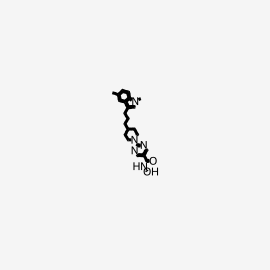 Cc1ccc2c(c1)c(CCCC1CCN(c3ncc(C(=O)NO)cn3)CC1)cn2C